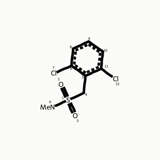 CNS(=O)(=O)Cc1c(Cl)cccc1Cl